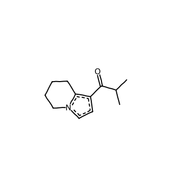 CC(C)C(=O)c1ccn2c1CCCC2